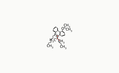 CCCCCCP(CCCCCC)c1ccccc1-c1c(OC(C)C)cccc1OC(C)C